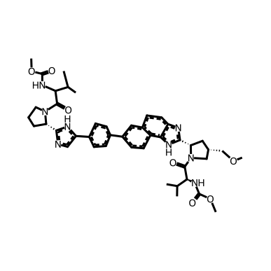 COC[C@H]1C[C@@H](c2nc3ccc4cc(-c5ccc(-c6cnc([C@@H]7CCCN7C(=O)C(NC(=O)OC)C(C)C)[nH]6)cc5)ccc4c3[nH]2)N(C(=O)[C@@H](NC(=O)OC)C(C)C)C1